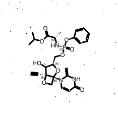 C#C[C@@]12OC[C@@]1(N1C=CC(=O)NC1=C)O[C@H](CO[P@@](=O)(N[C@@H](C)C(=O)OC(C)C)Oc1ccccc1)C2O